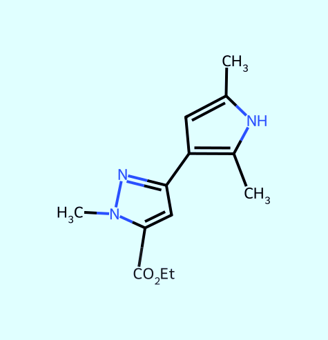 CCOC(=O)c1cc(-c2cc(C)[nH]c2C)nn1C